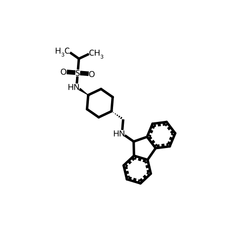 CC(C)S(=O)(=O)N[C@H]1CC[C@H](CNC2c3ccccc3-c3ccccc32)CC1